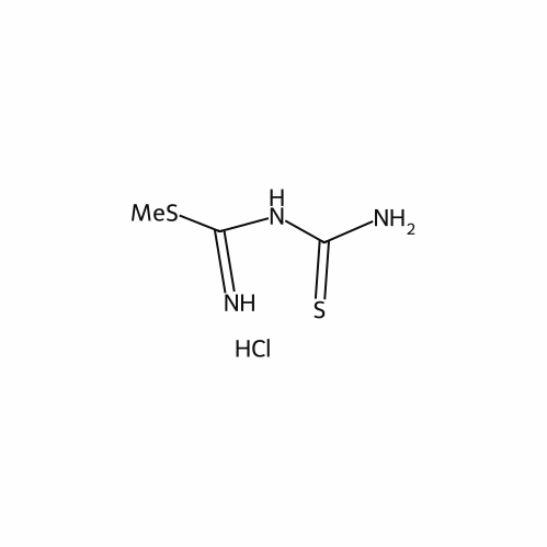 CSC(=N)NC(N)=S.Cl